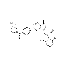 N#C/C(=C\c1c[nH]c2ncc(-c3ccc(C(=O)N4CCC(N)C4)cc3)cc12)c1c(Cl)cccc1Cl